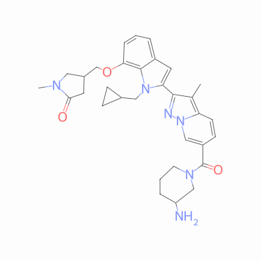 Cc1c(-c2cc3cccc(OCC4CC(=O)N(C)C4)c3n2CC2CC2)nn2cc(C(=O)N3CCCC(N)C3)ccc12